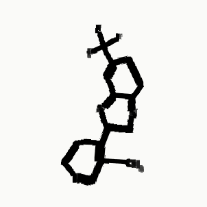 Cc1cnccc1-c1cnc2ccc(C(F)(F)F)cc2n1